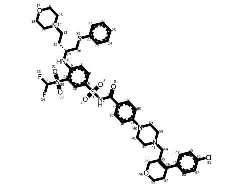 O=C(NS(=O)(=O)c1ccc(N[C@H](CCN2CCOCC2)CSc2ccccc2)c(S(=O)(=O)C(F)F)c1)c1ccc(N2CCN(CC3=C(c4ccc(Cl)cc4)CCOC3)CC2)cc1